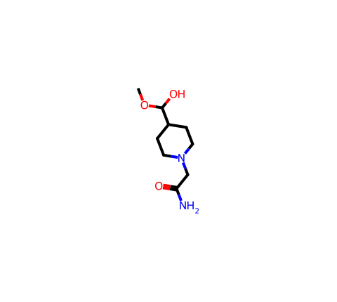 COC(O)C1CCN(CC(N)=O)CC1